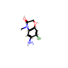 CN1C(=O)COc2cc(Br)c(N)cc21